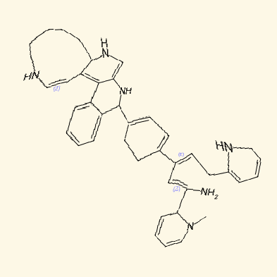 CN1C=CC=CC1/C(N)=C/C(=C\CC1=CC=CCN1)C1=CC=C(C2NC3=CNC4CCCCCN/C=C\C4=C3c3ccccc32)CC1